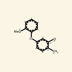 COc1ccccc1Oc1ccc(C)c(Cl)c1